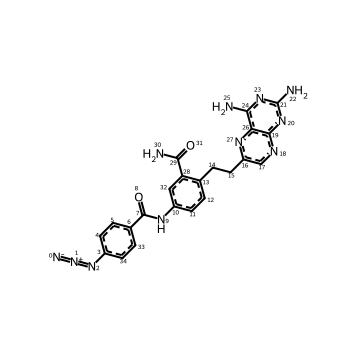 [N-]=[N+]=Nc1ccc(C(=O)Nc2ccc(CCc3cnc4nc(N)nc(N)c4n3)c(C(N)=O)c2)cc1